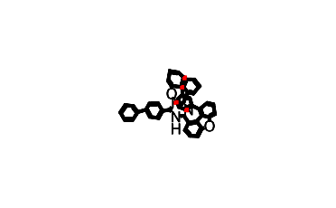 c1ccc(C2=NC(c3ccc(-c4ccccc4)cc3)NC(c3cccc4oc5cccc(-c6ccc7oc8ccccc8c7c6)c5c34)=N2)cc1